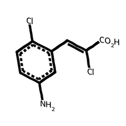 Nc1ccc(Cl)c(/C=C(\Cl)C(=O)O)c1